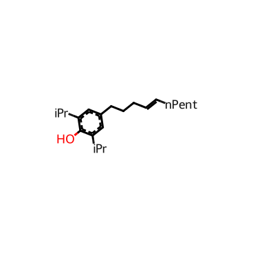 CCCCCC=CCCCc1cc(C(C)C)c(O)c(C(C)C)c1